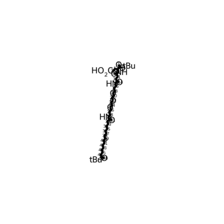 CC(C)(C)OC(=O)C(CCC(=O)O)NC(=O)CCC(=O)NCCCOCCOCCOCCCNC(=O)CCCCCCCSCCCCCCCC(=O)C(C)(C)C